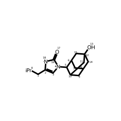 CC(C)CC1=CN(C2C3CC4CC2CC(O)(C4)C3)C(=O)[N]1